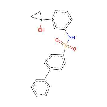 O=S(=O)(Nc1cccc(C2(O)CC2)c1)c1ccc(-c2ccccc2)cc1